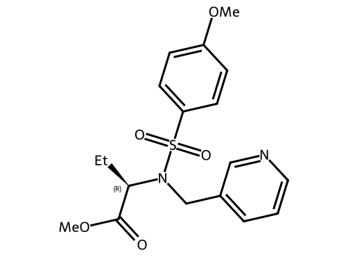 CC[C@H](C(=O)OC)N(Cc1cccnc1)S(=O)(=O)c1ccc(OC)cc1